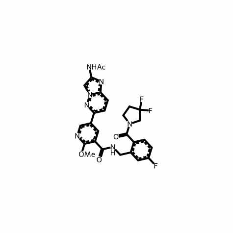 COc1ncc(-c2ccc3nc(NC(C)=O)cn3n2)cc1C(=O)NCc1cc(F)ccc1C(=O)N1CCC(F)(F)C1